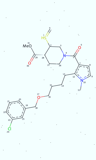 C=[SH]C1CN(C(=O)c2ccn(C)c2CCCCOCc2cccc(Cl)c2)CC[C@@H]1C(=O)OC